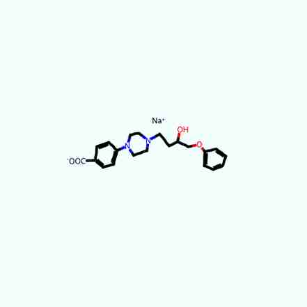 O=C([O-])c1ccc(N2CCN(CCC(O)COc3ccccc3)CC2)cc1.[Na+]